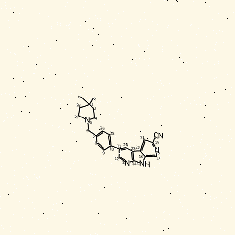 CC1(C)CCN(Cc2ccc(-c3cnc4[nH]c5cnc(C#N)cc5c4c3)cc2)CC1